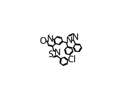 Cn1c(=O)cc(-c2nc(-c3ccccc3)cs2)c2cc(C(c3ccc(Cl)cc3)n3ccnc3-c3ccccc3)ccc21